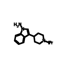 CC(C)N1CCC(c2cn(N)c3ccccc23)CC1